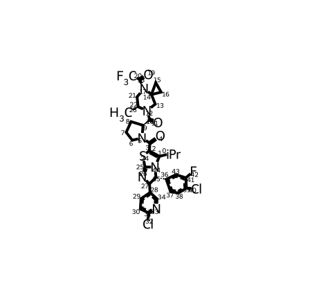 CC(C)C1=C(C(=O)N2CCC[C@H]2C(=O)N2CC3(CC3)N(C(=O)C(F)(F)F)C[C@@H]2C)SC2=NC(c3ccc(Cl)nc3)[C@@H](c3ccc(Cl)c(F)c3)N21